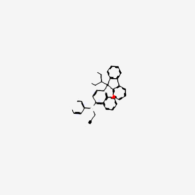 C#CCN(C(/C=C\C)=C/C)C(/C=C\CC1(C(CC)CC)c2ccccc2-c2ccccc21)=c1\ccccc1=C